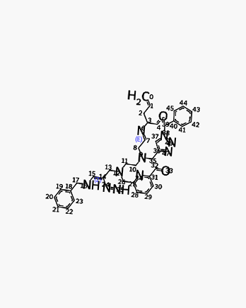 C=CCC(C=O)/N=C/CN(CCN(C/C(=C/NCc1ccccc1)N=N)Cc1cccc(C=O)n1)Cc1cn(Cc2ccccc2)nn1